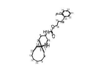 O=C(NC1CCC2(CCCCCCCC2)NC1)OCCSc1ccccc1F